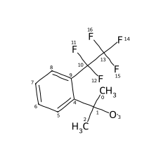 CC(C)([O])c1ccccc1C(F)(F)C(F)(F)F